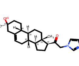 C[C@]1(O)CC[C@H]2C(=CC[C@@H]3[C@@H]2CC[C@]2(C)[C@@H](C(=O)Cn4ccnc4)CC[C@@H]32)C1